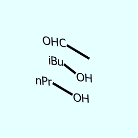 CC=O.CCC(C)O.CCCO